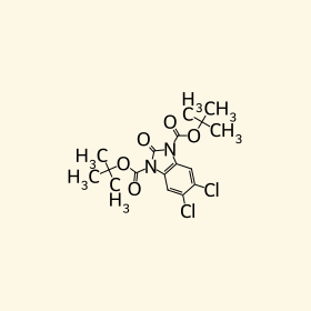 CC(C)(C)OC(=O)n1c(=O)n(C(=O)OC(C)(C)C)c2cc(Cl)c(Cl)cc21